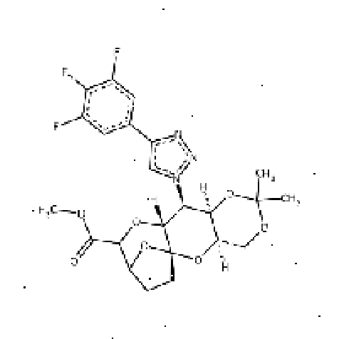 COC(=O)C1O[C@@H]2[C@@H](n3cc(-c4cc(F)c(F)c(F)c4)nn3)[C@H]3OC(C)(C)OC[C@H]3O[C@@]23CCC1O3